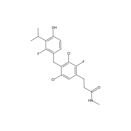 CNC(=O)CCc1cc(Cl)c(Cc2ccc(O)c(C(C)C)c2F)c(Cl)c1F